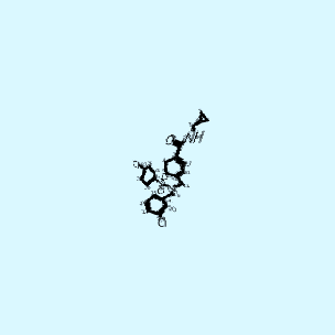 O=C(NCC1CC1)c1ccc(CN(Cc2cccc(Cl)c2)S(=O)(=O)c2ccc(Cl)cc2)cc1